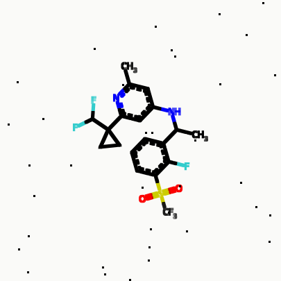 Cc1cc(NC(C)c2cccc(S(=O)(=O)C(F)(F)F)c2F)cc(C2(C(F)F)CC2)n1